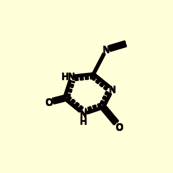 C=Nc1nc(=O)[nH]c(=O)[nH]1